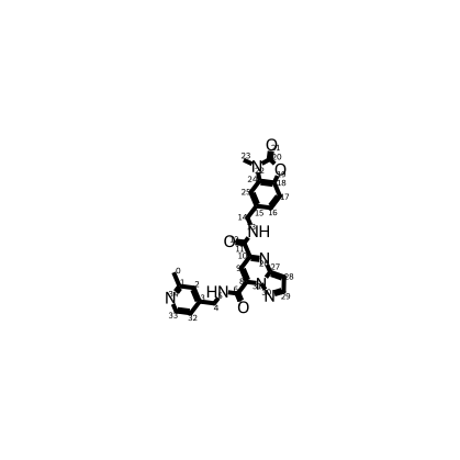 Cc1cc(CNC(=O)c2cc(C(=O)NCc3ccc4oc(=O)n(C)c4c3)nc3ccnn23)ccn1